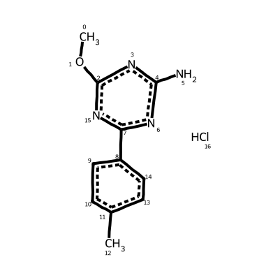 COc1nc(N)nc(-c2ccc(C)cc2)n1.Cl